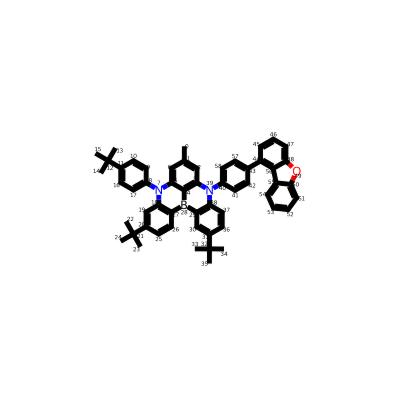 Cc1cc2c3c(c1)N(c1ccc(C(C)(C)C)cc1)c1cc(C(C)(C)C)ccc1B3c1cc(C(C)(C)C)ccc1N2c1ccc(-c2cccc3oc4ccccc4c23)cc1